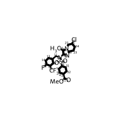 COC(=O)c1ccc(S(=O)(=O)N(Cc2ccc(F)c(C(F)(F)F)c2)c2nc3ccc(Cl)cn3c2C)cc1